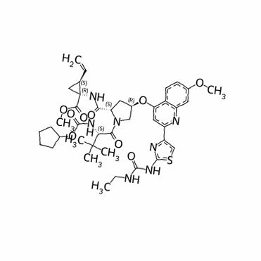 C=C[C@@H]1C[C@]1(NC(=O)[C@@H]1C[C@@H](Oc2cc(-c3csc(NC(=O)NCC)n3)nc3cc(OC)ccc23)CN1C(=O)[C@@H](NC(=O)OC1CCCC1)C(C)(C)C)C(=O)OC